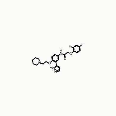 Cn1nccc1-c1cc(NC(=O)COc2ccc(F)cc2F)ccc1OCCN1CCCCC1